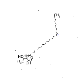 CCCCCCCC/C=C\CCCCCCCCCCCCCC(=O)N[C@H](C(=O)O)C(C)O